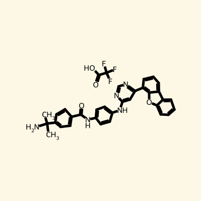 CC(C)(N)c1ccc(C(=O)Nc2ccc(Nc3cc(-c4cccc5c4oc4ccccc45)ncn3)cc2)cc1.O=C(O)C(F)(F)F